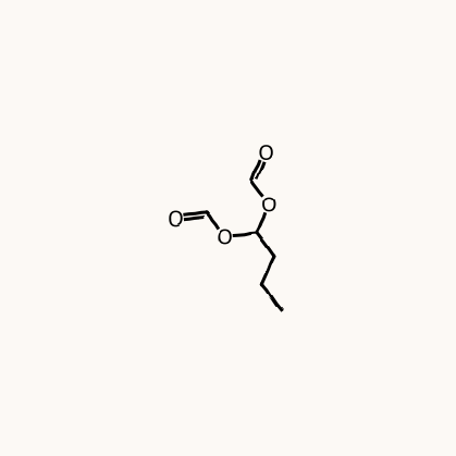 CCCC(OC=O)OC=O